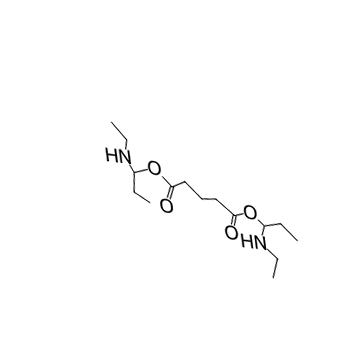 CCNC(CC)OC(=O)CCCC(=O)OC(CC)NCC